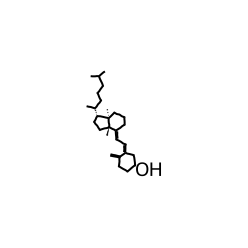 C=C1CC[C@H](O)C/C1=C/C=C1\CCC[C@]2(C)[C@@H](C(C)CCCC(C)C)CC[C@@]12C